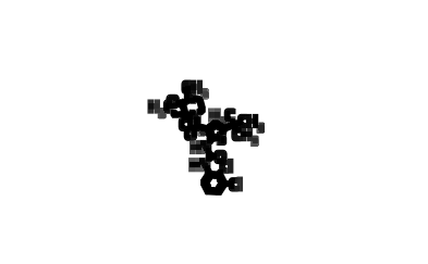 CCC1(C)C(=O)N(C)CCN1C(=O)c1cc(C(C)(C)C)sc1NC(=O)Nc1cccc(Cl)c1Cl